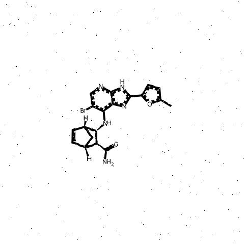 Cc1ccc(-c2nc3c(N[C@H]4[C@@H](C(N)=O)[C@@H]5C=C[C@H]4C5)c(Br)cnc3[nH]2)o1